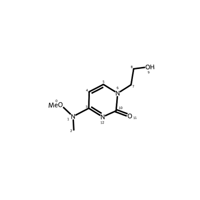 CON(C)c1ccn(CCO)c(=O)n1